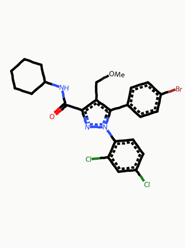 COCc1c(C(=O)NC2CCCCC2)nn(-c2ccc(Cl)cc2Cl)c1-c1ccc(Br)cc1